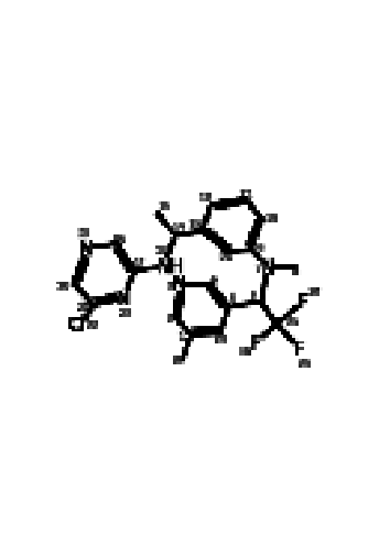 Cc1cncc(C(N(C)c2cccc([C@H](C)Nc3cncc(Cl)n3)c2)C(F)(F)F)c1